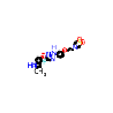 Cc1cc2c(F)c(Oc3ccnc(Nc4cccc(OCCCN5CCS(=O)(=O)CC5)c4)n3)ccc2[nH]1